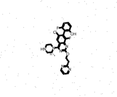 C[C@@H]1CNCCN1c1nc(OCCc2ncccn2)nc2c(F)c(-c3c(O)cccc3F)c(Cl)cc12